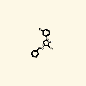 CC(C)C1N[C@H](c2cccc(F)c2)C[C@@H]1OCc1ccccc1